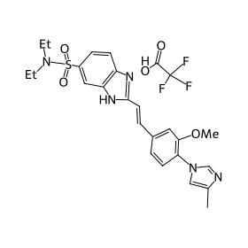 CCN(CC)S(=O)(=O)c1ccc2nc(C=Cc3ccc(-n4cnc(C)c4)c(OC)c3)[nH]c2c1.O=C(O)C(F)(F)F